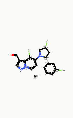 O=Cc1cnn2ccc(N3C[C@@H](F)C[C@@H]3c3cccc(F)c3)c(F)c12.[NaH]